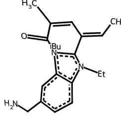 C/C=C(\C=C(\C)C(=O)C(C)CC)c1nc2cc(CN)ccc2n1CC